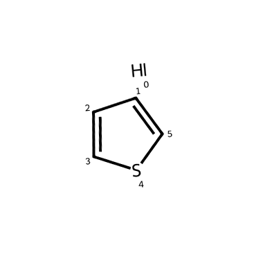 I.c1ccsc1